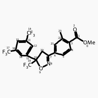 COC(=O)c1ccc(C2=NOC(c3cc(C(F)(F)F)cc(C(F)(F)F)c3)(C(F)(F)F)C2)cc1C